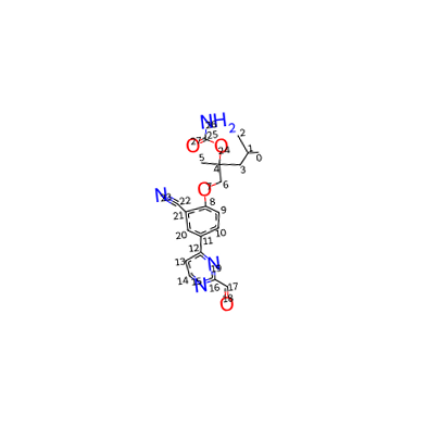 CC(C)CC(C)(COc1ccc(-c2ccnc(C=O)n2)cc1C#N)OC(N)=O